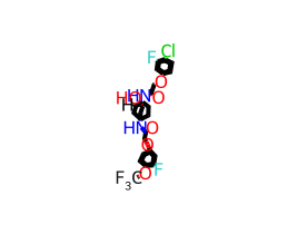 O=C(COc1ccc(OC(F)(F)F)c(F)c1)NC12CCC(NC(=O)COc3ccc(Cl)c(F)c3)(CC1)[C@@H](O)C2